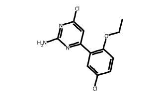 CCOc1ccc(Cl)cc1-c1cc(Cl)nc(N)n1